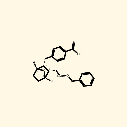 O=C(O)c1ccc(C[C@@H]2[C@H](CNOCc3ccccc3)[C@@H]3CC[C@H]2O3)cc1